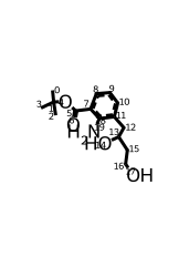 CC(C)(C)OC(=O)c1cccc(CC(O)CCO)c1N